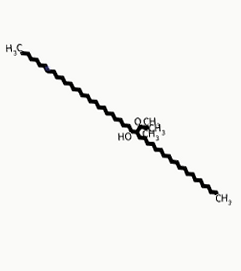 CCCCCC/C=C/CCCCCCCCCCCCCCCCCCCC(O)C(CCCCCCCCCCCCCCCCCCCCC)C(=O)C(C)(C)C